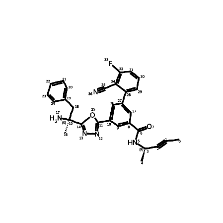 CC#C[C@@H](C)NC(=O)c1cc(-c2nnc([C@@](C)(N)Cc3ccccc3)o2)cc(-c2cccc(F)c2C#N)c1